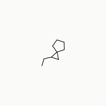 CCC1CC12CCCC2